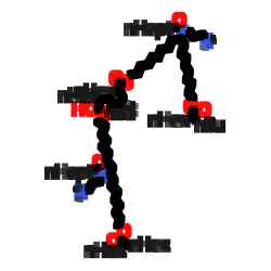 CCCCCCCC(=O)N(CCCN(C)C)C(CCCCCCCCCOC(=O)C(CCCC)CCCCCC)CCCCCCCCCOC(=O)C(CCCCCC)CC(CC)C(CCCC)CC(CCCCCC)C(O)OCCCCCCCCC(CCCCCCCCOC(=O)C(CCCCCC)CCCCCC)N(CCCN(C)C)C(=O)CCCCCCC